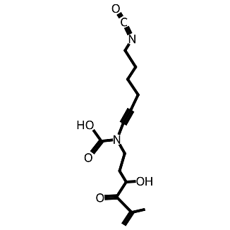 C=C(C)C(=O)C(O)CCN(C#CCCCCN=C=O)C(=O)O